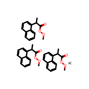 COOC(=O)C(C)c1cccc2ccccc12.COOC(=O)C(C)c1cccc2ccccc12.COOC(=O)C(C)c1cccc2ccccc12.[Al]